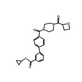 O=C(OC1CC1)c1cccc(-c2ccc(C(=O)N3CCN(C(=O)C4CCO4)CC3)cc2)c1